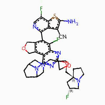 N#Cc1c(N)sc2c(F)cnc(-c3c4c(c5c(N6C7CCC6CN(CC6COC6)C7)nc(OC[C@@]67CCCN6C[C@H](F)C7)nc5c3F)COC4)c12